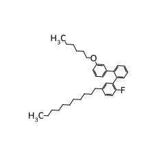 CCCCCCCCCCCc1ccc(F)c(-c2ccccc2-c2cccc(OCCCCCC)c2)c1